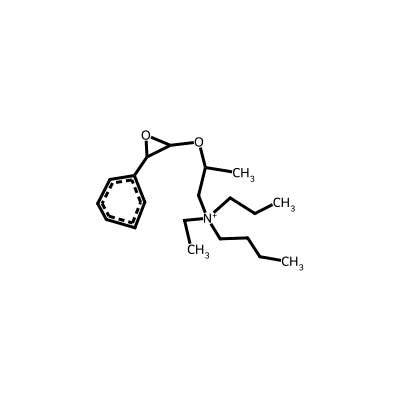 CCCC[N+](CC)(CCC)CC(C)OC1OC1c1ccccc1